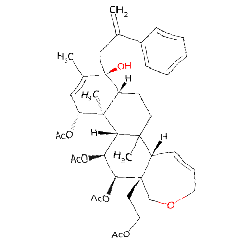 C=C(C[C@@]1(O)C(C)=C[C@@H](OC(C)=O)[C@@]2(C)[C@H]1CCC1(C)[C@@H]3C=CCOC[C@]3(CCOC(C)=O)[C@@H](OC(C)=O)[C@@H](OC(C)=O)[C@@H]12)c1ccccc1